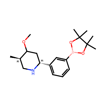 COC1C[C@H](c2cccc(B3OC(C)(C)C(C)(C)O3)c2)NC[C@H]1C